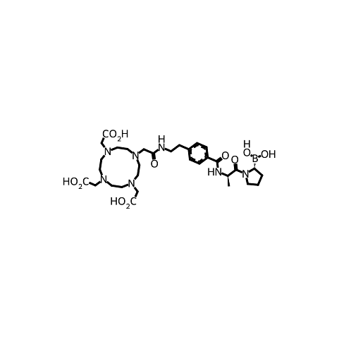 C[C@@H](NC(=O)c1ccc(CCNC(=O)CN2CCN(CC(=O)O)CCN(CC(=O)O)CCN(CC(=O)O)CC2)cc1)C(=O)N1CCC[C@H]1B(O)O